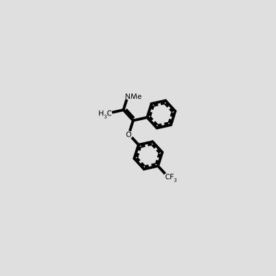 CN/C(C)=C(/Oc1ccc(C(F)(F)F)cc1)c1ccccc1